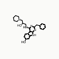 Oc1ccc2c(c1)[nH]c1nc(Cc3ccccc3)nc(NCC(O)CN3CCCCC3)c12